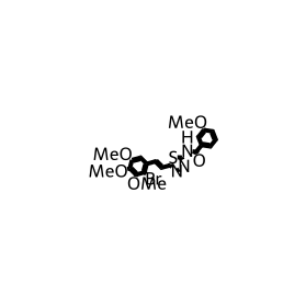 COc1cccc(C(=O)Nc2nnc(C=Cc3cc(OC)c(OC)c(OC)c3Br)s2)c1